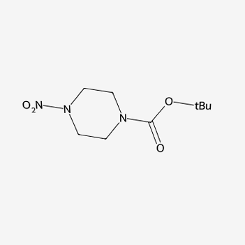 CC(C)(C)OC(=O)N1CCN([N+](=O)[O-])CC1